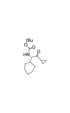 CC(C)(C)OC(=O)N[C@H](C(=O)C1CC1)C1CCCCC1